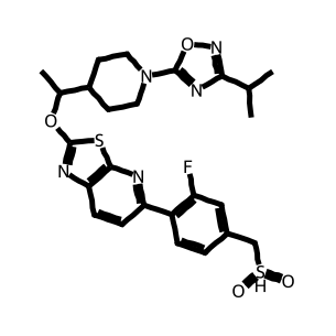 CC(C)c1noc(N2CCC(C(C)Oc3nc4ccc(-c5ccc(C[SH](=O)=O)cc5F)nc4s3)CC2)n1